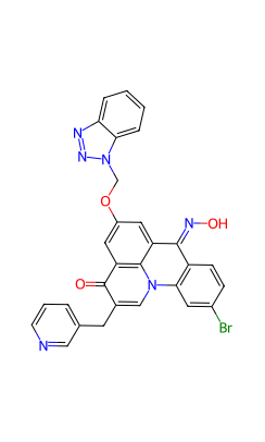 O=c1c(Cc2cccnc2)cn2c3cc(Br)ccc3c(=NO)c3cc(OCn4nnc5ccccc54)cc1c32